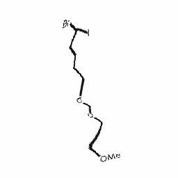 COCCOCOCCCCC(Br)I